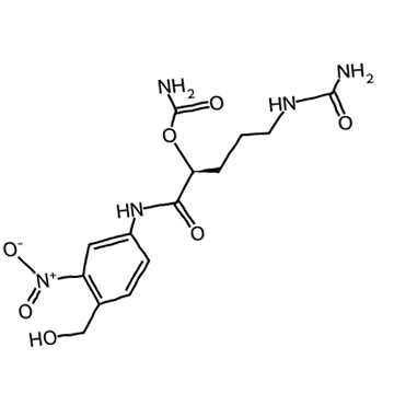 NC(=O)NCCC[C@H](OC(N)=O)C(=O)Nc1ccc(CO)c([N+](=O)[O-])c1